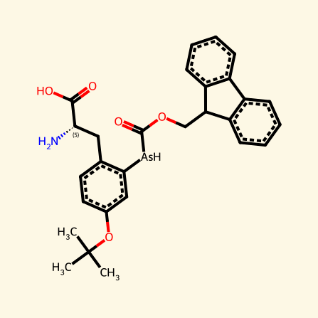 CC(C)(C)Oc1ccc(C[C@H](N)C(=O)O)c([AsH]C(=O)OCC2c3ccccc3-c3ccccc32)c1